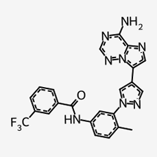 Cc1ccc(NC(=O)c2cccc(C(F)(F)F)c2)cc1-n1cc(-c2cnc3c(N)ncnn23)cn1